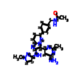 CC(=O)NCc1ccc(-c2ccc3nc(Nc4ccn(C)n4)c(-c4cc(N)nc(C)n4)n3n2)cc1